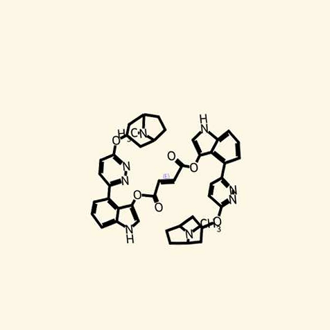 CN1C2CCC1CC(Oc1ccc(-c3cccc4[nH]cc(OC(=O)/C=C/C(=O)Oc5c[nH]c6cccc(-c7ccc(OC8CC9CCC(C8)N9C)nn7)c56)c34)nn1)C2